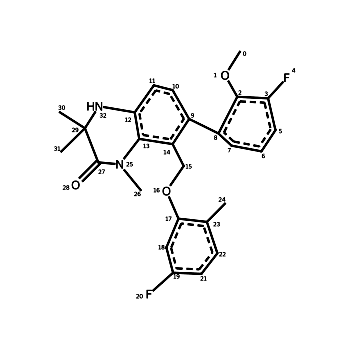 COc1c(F)cccc1-c1ccc2c(c1COc1cc(F)ccc1C)N(C)C(=O)C(C)(C)N2